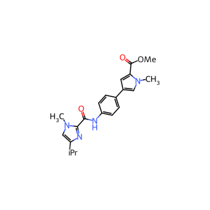 COC(=O)c1cc(-c2ccc(NC(=O)c3nc(C(C)C)cn3C)cc2)cn1C